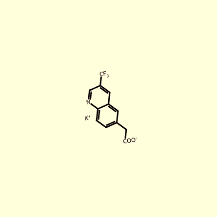 O=C([O-])Cc1ccc2ncc(C(F)(F)F)cc2c1.[K+]